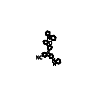 N#Cc1ccc2c(c1)c1cc(-n3cnc4ccccc43)ccc1n2-c1ccc2oc3c(-n4c5ccccc5c5ccccc54)cccc3c2c1